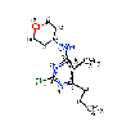 CCCc1nc(Cl)nc(NC2CCOCC2)c1C